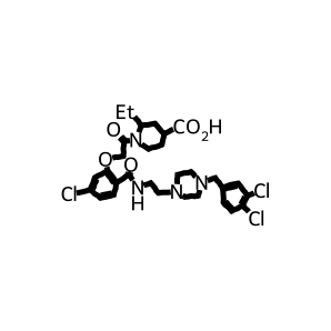 CCC1CC(C(=O)O)CCN1C(=O)COc1cc(Cl)ccc1C(=O)NCCN1CCN(Cc2ccc(Cl)c(Cl)c2)CC1